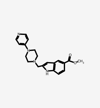 COC(=O)c1ccc2[nH]c(CN3CCN(c4ccncc4)CC3)cc2c1